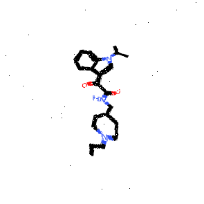 CCCN1CCC(CNC(=O)C(=O)c2cn(C(C)C)c3ccccc23)CC1